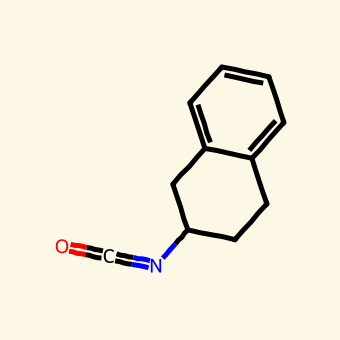 O=C=NC1CCc2ccccc2C1